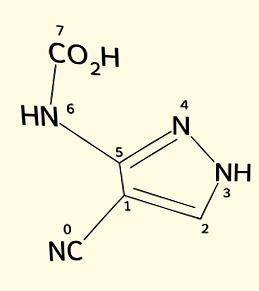 N#Cc1c[nH]nc1NC(=O)O